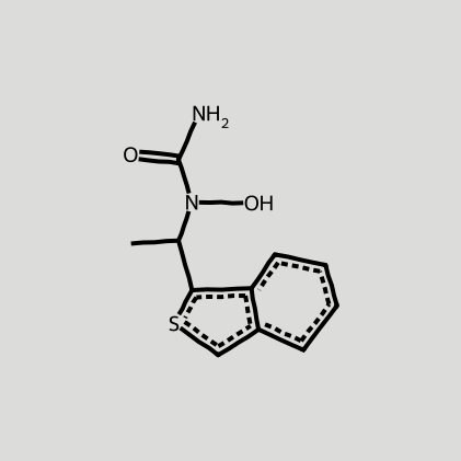 CC(c1scc2ccccc12)N(O)C(N)=O